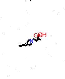 CCCCC1CCN(CCC(C)C(=O)O)CC1